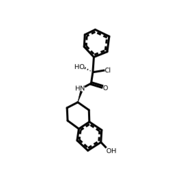 O=C(N[C@@H]1CCc2ccc(O)cc2C1)[C@](O)(Cl)c1ccccc1